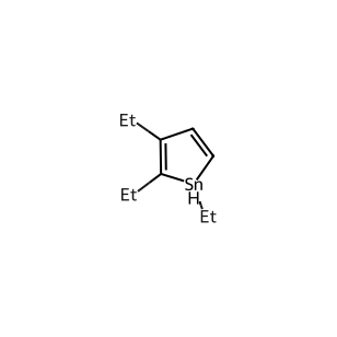 CCC1=[C](CC)[SnH]([CH2]C)[CH]=C1